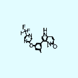 Cc1cc(Oc2cnc(C(F)(F)F)cn2)cc(-c2c[nH]c3ccc(=O)n(C)c23)c1